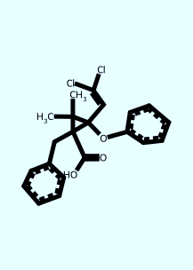 CC1(C)C(C=C(Cl)Cl)(Oc2ccccc2)C1(Cc1ccccc1)C(=O)O